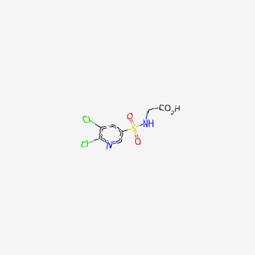 O=C(O)CNS(=O)(=O)c1cnc(Cl)c(Cl)c1